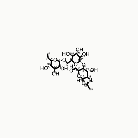 CCC1O[C@H](OCC2O[C@@H](O[C@@H]3C(CO)O[C@@H]4OC(C)=NC4[C@H]3O)C(O)[C@@H](O)[C@@H]2O)C(O)[C@@H](O)[C@@H]1O